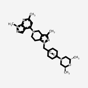 Cc1cc(N2CCc3c(c(C)nn3CC34CCC(N5C[C@H](C)O[C@@H](C)C5)(CC3)CC4)C2)c2cnn(C)c2n1